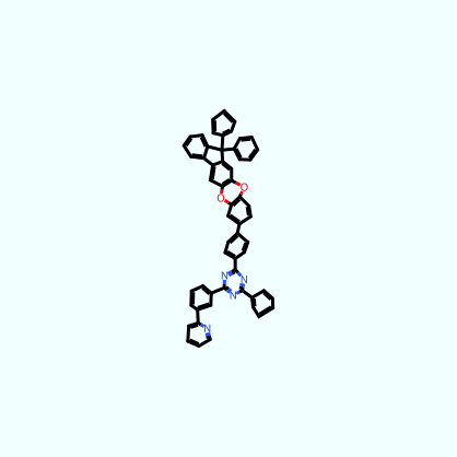 c1ccc(-c2nc(-c3ccc(-c4ccc5c(c4)Oc4cc6c(cc4O5)C(c4ccccc4)(c4ccccc4)c4ccccc4-6)cc3)nc(-c3cccc(-c4ccccn4)c3)n2)cc1